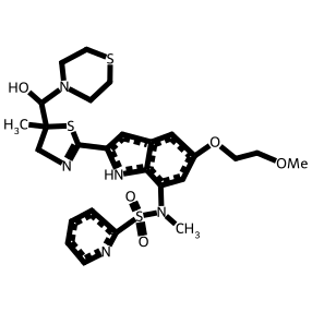 COCCOc1cc(N(C)S(=O)(=O)c2ccccn2)c2[nH]c(C3=NCC(C)(C(O)N4CCSCC4)S3)cc2c1